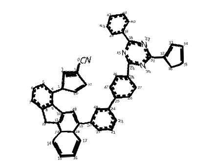 N#CC1=CC(c2cccc3c2C2=C(C3)C3C=CC=CC3C(c3cccc(-c4ccc(-c5nc(C6=CC=CC6)nc(-c6ccccc6)n5)cc4)c3)=C2)C=C1